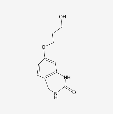 O=C1NCc2ccc(OCCCO)cc2N1